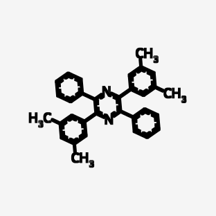 Cc1cc(C)cc(-c2nc(-c3ccccc3)c(-c3cc(C)cc(C)c3)nc2-c2ccccc2)c1